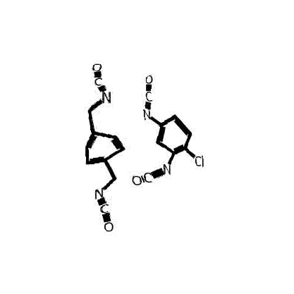 O=C=NCc1ccc(CN=C=O)cc1.O=C=Nc1ccc(Cl)c(N=C=O)c1